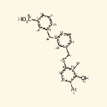 CC(=O)c1ccc(SCc2cccc(Cc3cccc(C(=O)O)c3)c2)c(C)c1O